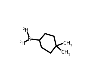 [2H]N([2H])C1CCC(C)(C)CC1